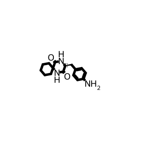 Nc1ccc(C[C@@H]2NC(=O)C3(CCCCC3)NC2=O)cc1